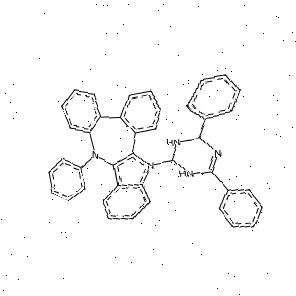 c1ccc(C2=NC(c3ccccc3)NC(n3c4c(c5ccccc53)N(c3ccccc3)c3ccccc3-c3ccccc3-4)N2)cc1